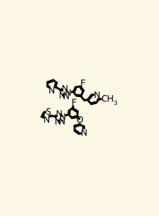 Cc1ccc(Cc2cc(F)cc(-n3nnc(-c4ccccn4)n3)c2)cn1.Fc1cc(Oc2cccnc2)cc(-n2nnc(-c3nccs3)n2)c1